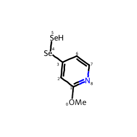 COc1cc([Se][SeH])ccn1